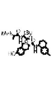 CN[C@@H](C)C(=O)NC(C(=O)N1Cc2cc(O)ccc2C[C@H]1C(=O)NC1CCCc2cc(C)ccc21)C(C)(C)C